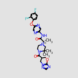 C[C@@H](C(=O)Nc1cnc(Oc2ccc(F)cc2F)cn1)N1CCN(C(=O)C2COc3ncnn3C2)C(C)(C)C1